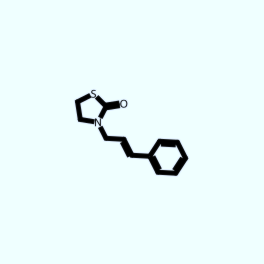 O=C1SCCN1CC=Cc1ccccc1